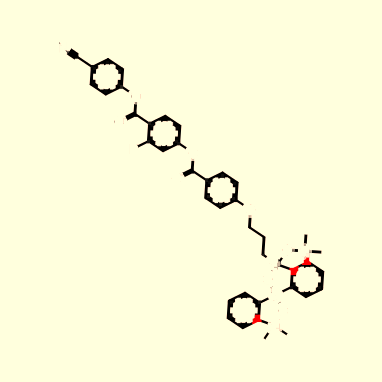 C[Si](C)(C)O[Si](C)(CCCOc1ccc(C(=O)Oc2ccc(C(=O)Oc3ccc(C#N)cc3)c(F)c2)cc1)O[Si](O[Si](C)(C)C)(c1ccccc1)c1ccccc1